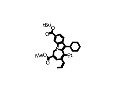 C/C=C\C1=C(CC)c2c(C3CCCCC3)c3ccc(C(=O)OC(C)(C)C)cc3n2CC(C(=O)OC)=C1